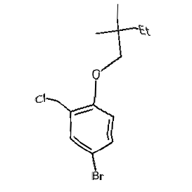 CCC(C)(C)COc1ccc(Br)cc1Cl